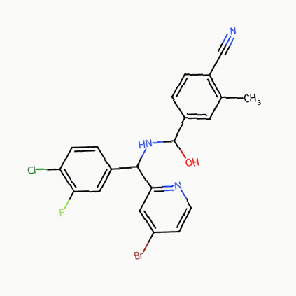 Cc1cc(C(O)NC(c2ccc(Cl)c(F)c2)c2cc(Br)ccn2)ccc1C#N